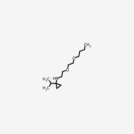 CCCCOCCOCCNC1(C(C)C)CC1